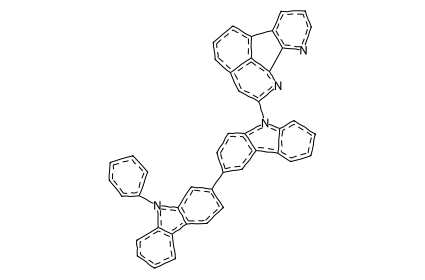 c1ccc(-n2c3ccccc3c3ccc(-c4ccc5c(c4)c4ccccc4n5-c4cc5cccc6c5c(n4)-c4ncccc4-6)cc32)cc1